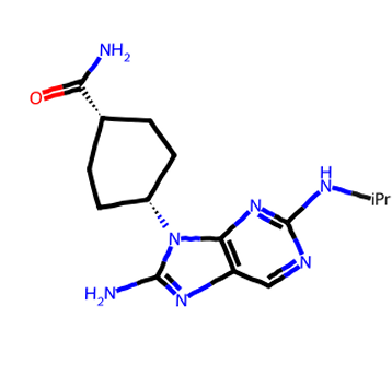 CC(C)Nc1ncc2nc(N)n([C@H]3CC[C@@H](C(N)=O)CC3)c2n1